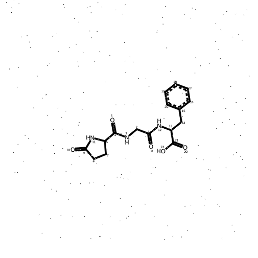 O=C(CNC(=O)C1CCC(=O)N1)NC(Cc1ccccc1)C(=O)O